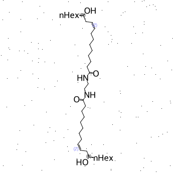 CCCCCC[C@@H](O)C/C=C\CCCCCCCC(=O)NCCNC(=O)CCCCCCC/C=C\C[C@H](O)CCCCCC